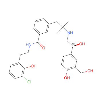 CC(C)(Cc1cccc(C(=O)NCCc2cccc(Cl)c2O)c1)NC[C@@H](O)c1ccc(O)c(CO)c1